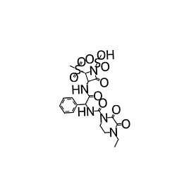 CCN1CCN(C(=O)NC(C(=O)N[C@@H]2C(=O)N(S(=O)(=O)O)[C@@H]2S(C)(=O)=O)c2ccccc2)C(=O)C1=O